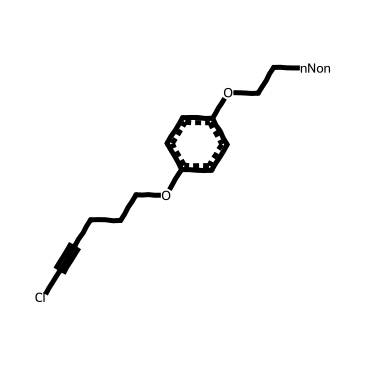 CCCCCCCCCCCOc1ccc(OCCCC#CCl)cc1